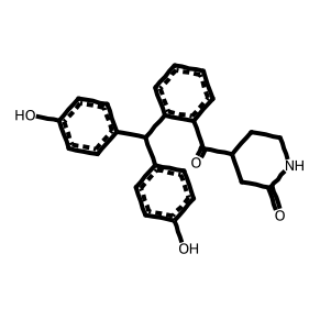 O=C1CC(C(=O)c2ccccc2C(c2ccc(O)cc2)c2ccc(O)cc2)CCN1